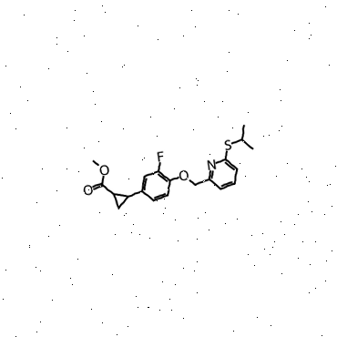 COC(=O)C1CC1c1ccc(OCc2cccc(SC(C)C)n2)c(F)c1